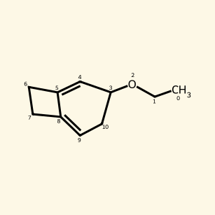 CCOC1C=C2CCC2=CC1